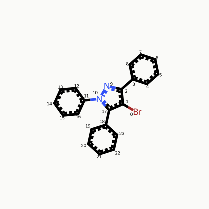 Brc1c(-c2ccccc2)nn(-c2ccccc2)c1-c1ccccc1